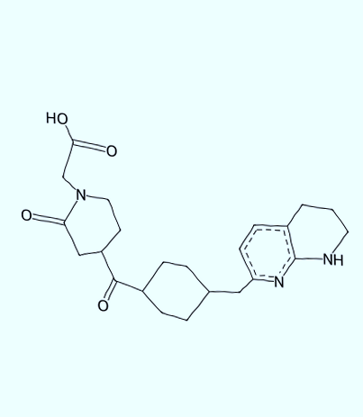 O=C(O)CN1CCC(C(=O)C2CCC(Cc3ccc4c(n3)NCCC4)CC2)CC1=O